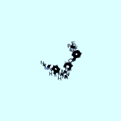 C/C(=N\C#N)Nc1cccc(Nc2ncnc(N3CCC(OCc4cccc(OC(F)(F)F)c4)CC3)n2)c1C